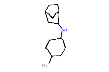 CC1CCC(NC2CC3CCC2C3)CC1